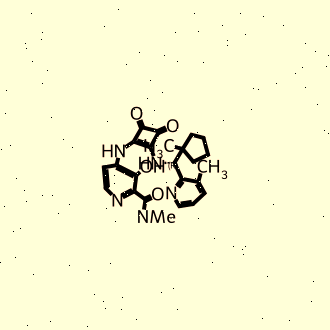 CNC(=O)c1nccc(Nc2c(N[C@@H](c3ncccc3C)C3(C)CCCC3)c(=O)c2=O)c1O